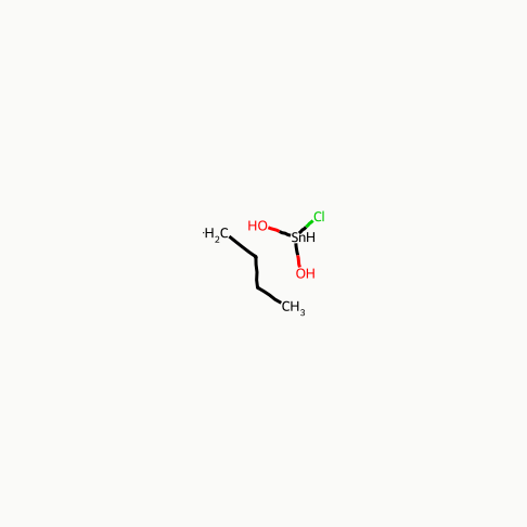 [CH2]CCC.[OH][SnH]([OH])[Cl]